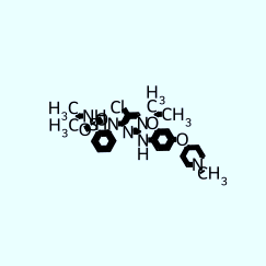 CC(C)NS(=O)(=O)c1ccccc1Nc1nc(Nc2ccc(OC3CCN(C)CC3)cc2OC(C)C)ncc1Cl